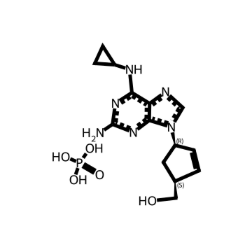 Nc1nc(NC2CC2)c2ncn([C@H]3C=C[C@@H](CO)C3)c2n1.O=P(O)(O)O